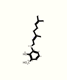 CC(C)=CCC/C(C)=C/CSc1cccc(C(=O)O)c1O